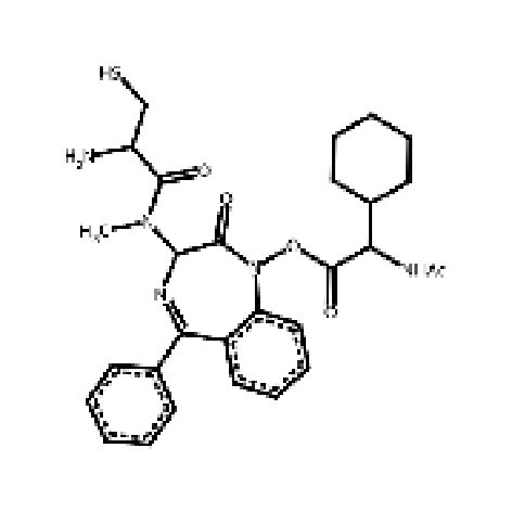 CC(=O)NC(C(=O)ON1C(=O)C(N(C)C(=O)C(N)CS)N=C(c2ccccc2)c2ccccc21)C1CCCCC1